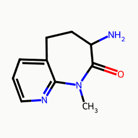 CN1C(=O)C(N)CCc2cccnc21